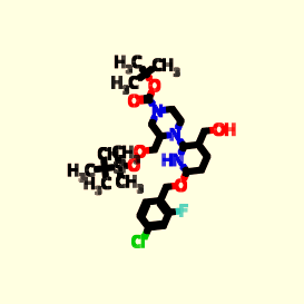 CC(C)(C)OC(=O)N1CCN(C2NC(OCc3ccc(Cl)cc3F)CCC2CO)C(COO[Si](C)(C)C(C)(C)C)C1